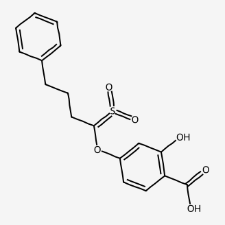 O=C(O)c1ccc(OC(CCCc2ccccc2)=S(=O)=O)cc1O